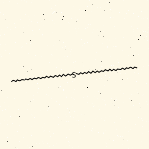 CCCCCCCCCCCCCCCCCCCCCCCCCCCCCCSCCCCCCCCCCCCCCCCCCCCCCCCCCCCCC